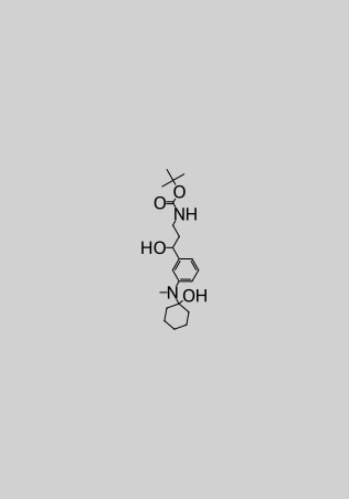 CN(c1cccc(C(O)CCNC(=O)OC(C)(C)C)c1)C1(O)CCCCC1